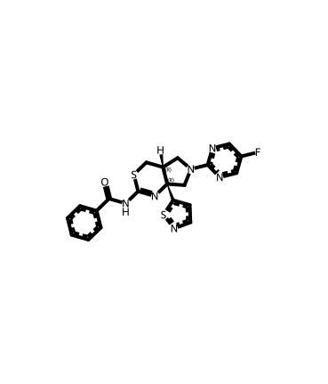 O=C(NC1=N[C@@]2(c3ccns3)CN(c3ncc(F)cn3)C[C@H]2CS1)c1ccccc1